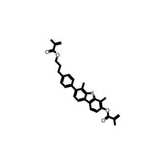 C=C(C)C(=O)OCCCc1ccc(-c2ccc3c(sc4c(C)c(OC(=O)C(=C)C)ccc43)c2C)cc1